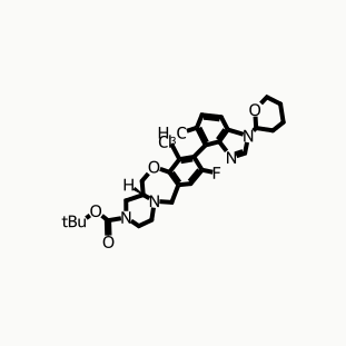 Cc1ccc2c(ncn2C2CCCCO2)c1-c1c(F)cc2c(c1Cl)OC[C@H]1CN(C(=O)OC(C)(C)C)CCN1C2